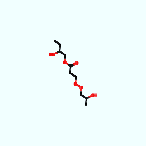 CCC(O)COC(=O)CCOOCC(C)O